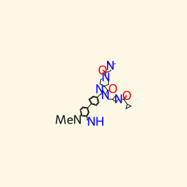 CNc1ccc(-c2ccc(C3=NC4(CCN(C(=O)CN(C)C)CC4)C(=O)N3CC3CN(C(=O)C4CC4)C3)cc2)cc1C=N